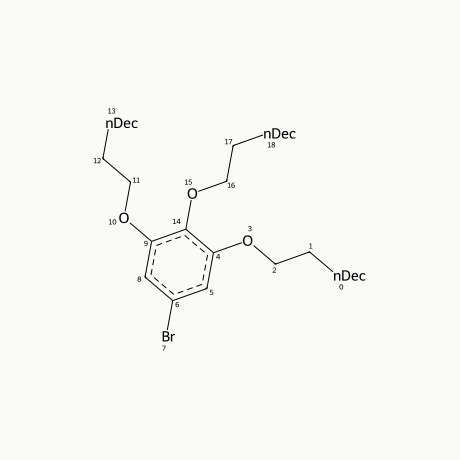 CCCCCCCCCCCCOc1cc(Br)cc(OCCCCCCCCCCCC)c1OCCCCCCCCCCCC